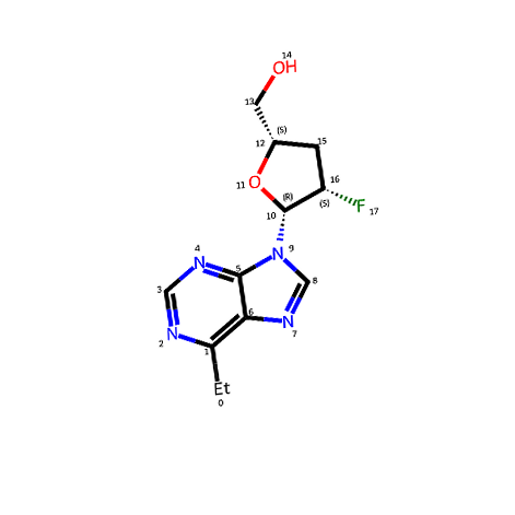 CCc1ncnc2c1ncn2[C@@H]1O[C@H](CO)C[C@@H]1F